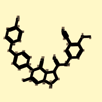 COc1ccc(NC(=O)C2CNN3C=C(C)N(c4ccc(Cc5ccc(Cl)cc5)cc4)C(=O)C23)cc1C#N